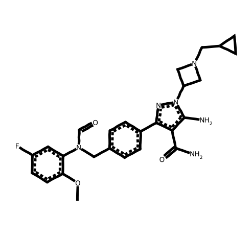 COc1ccc(F)cc1N(C=O)Cc1ccc(-c2nn(C3CN(CC4CC4)C3)c(N)c2C(N)=O)cc1